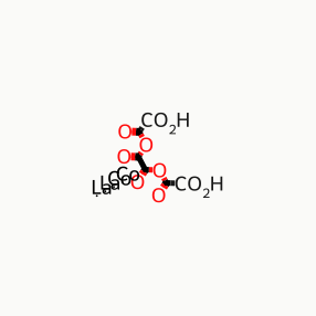 O=C(O)C(=O)OC(=O)C(=O)OC(=O)C(=O)O.[Co].[Co].[La].[La]